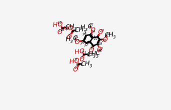 CC(=O)O.CC(=O)O.CC(=O)O.CC(=O)O.COC1=C(OC)C(=O)c2c(OC)cc(OC)cc2C1=O